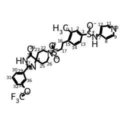 Cc1cc([S+]([O-])Nc2ccncc2)ccc1CCS(=O)(=O)N1CCC2(CC1)N=C(c1cccc(OC(F)(F)F)c1)NC2=O